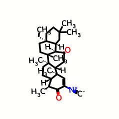 [C-]#[N+]C1=C[C@]2(C)[C@H]3CC(=O)[C@@H]4[C@@H]5CC(C)(C)CC[C@]5(CC)CC[C@@]4(C)[C@]3(C)CC[C@H]2[C@H](C)C1=O